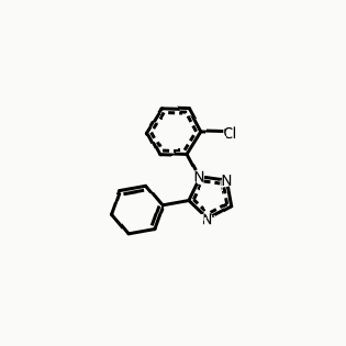 Clc1ccccc1-n1ncnc1C1=CCCC=C1